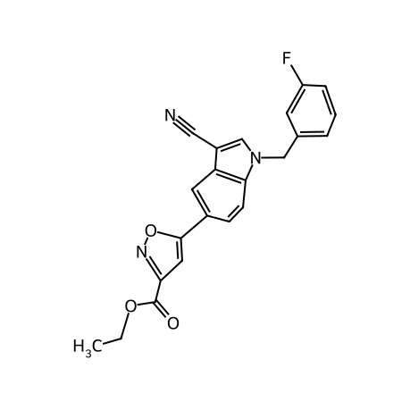 CCOC(=O)c1cc(-c2ccc3c(c2)c(C#N)cn3Cc2cccc(F)c2)on1